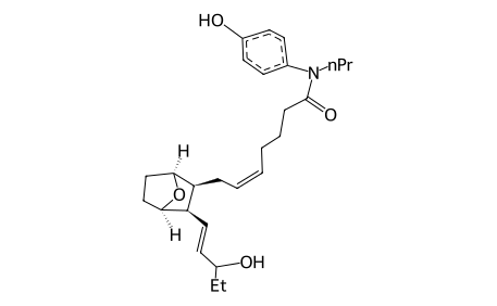 CCCN(C(=O)CCC/C=C\C[C@H]1[C@@H](/C=C/C(O)CC)[C@H]2CC[C@@H]1O2)c1ccc(O)cc1